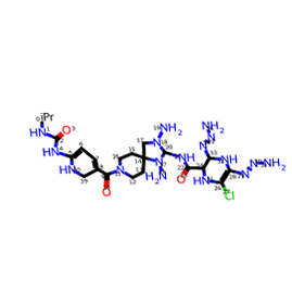 CC(C)NC(=O)NC1=CC=C(C(=O)N2CCC3(CC2)CN(N)C(NC(=O)C2NC(Cl)=C(N=NN)NC2N=NN)N3N)CN1